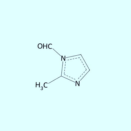 Cc1nccn1C=O